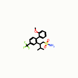 COc1ccccc1-c1ccc(C(F)(F)F)cc1C(CS(N)(=O)=O)C(C)C